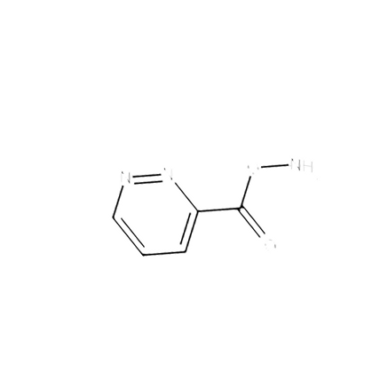 NOC(=O)c1cccnn1